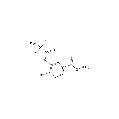 COC(=O)c1cnc(Br)c(NC(=O)C(C)(F)F)c1